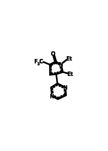 CCc1c(-c2cnccn2)cc(C(F)(F)F)c(=O)n1CC